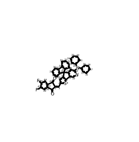 O=C1C(=Cc2cc3c(s2)-c2cnc(N(c4ccccc4)c4ccccc4)cc2C32c3ccccc3-c3ccccc32)C(=O)c2cc(F)c(F)cc21